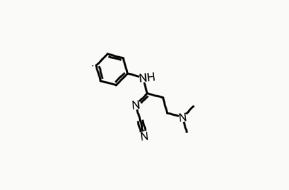 CN(C)CCC(=NC#N)Nc1cc[c]cc1